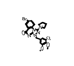 COc1cc(Cn2nc(N3CCCC3)n3c4ccc(Br)cc4c(=O)nc23)cc(OC)c1OC